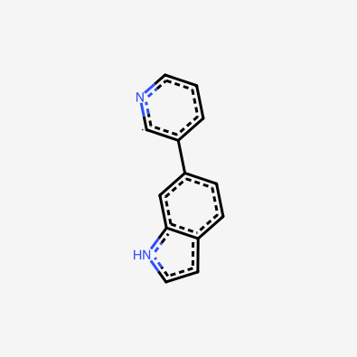 [c]1ncccc1-c1ccc2cc[nH]c2c1